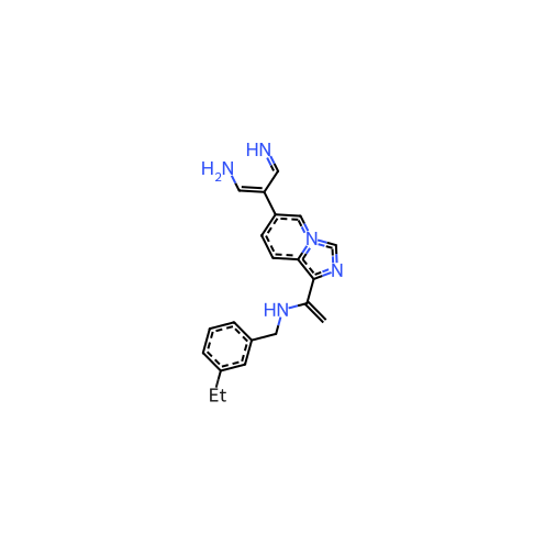 C=C(NCc1cccc(CC)c1)c1ncn2cc(/C(C=N)=C/N)ccc12